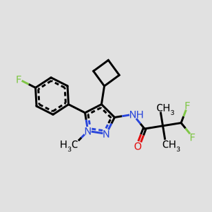 Cn1nc(NC(=O)C(C)(C)C(F)F)c(C2CCC2)c1-c1ccc(F)cc1